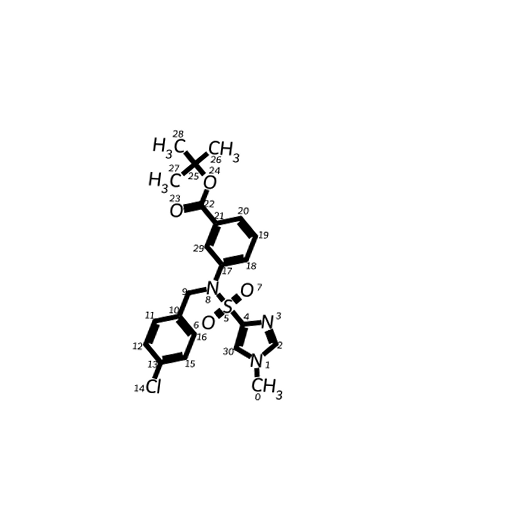 Cn1cnc(S(=O)(=O)N(Cc2ccc(Cl)cc2)c2cccc(C(=O)OC(C)(C)C)c2)c1